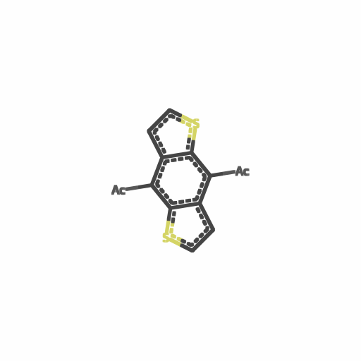 CC(=O)c1c2ccsc2c(C(C)=O)c2ccsc12